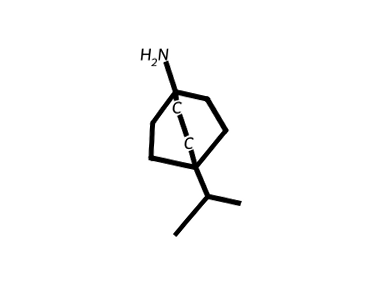 CC(C)C12CCC(N)(CC1)CC2